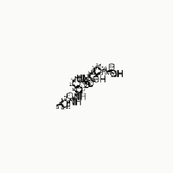 Cc1ccc(NC(=O)Nc2ccc3c(c2)CCN(C)C3C(=O)NC(Cc2ccc(CCC(=O)O)cc2)C(=O)O)cc1